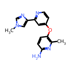 Cc1nc(N)ccc1Oc1ccnc(-c2cn(C)cn2)c1